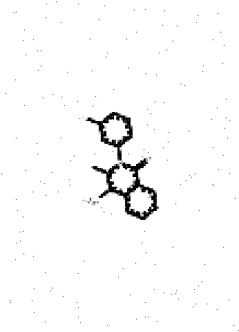 Cc1c(C(=O)O)c2ccccc2c(=O)n1-c1cccc(F)c1